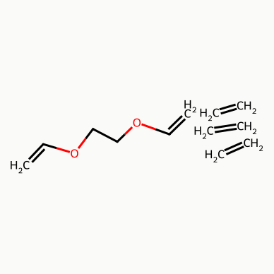 C=C.C=C.C=C.C=COCCOC=C